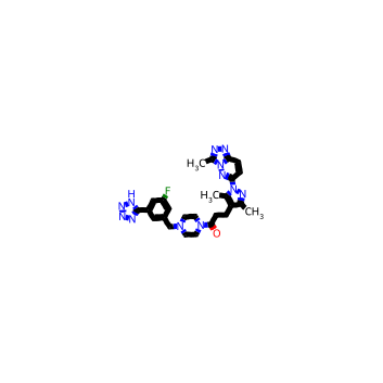 Cc1nn(-c2ccc3nnc(C)n3n2)c(C)c1CCC(=O)N1CCN(Cc2cc(F)cc(-c3nnn[nH]3)c2)CC1